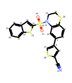 N#Cc1cc(-c2ccc3c(c2)N(S(=O)(=O)c2cc4ccccc4s2)CCS3)cs1